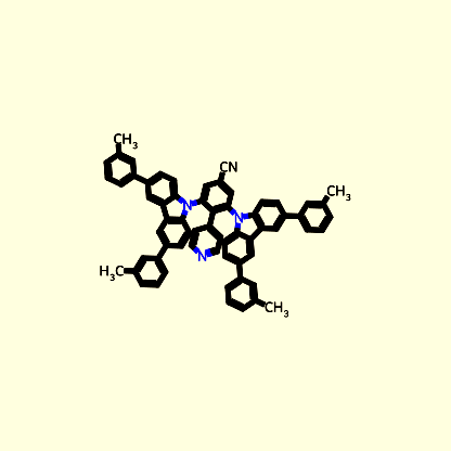 Cc1cccc(-c2ccc3c(c2)c2cc(-c4cccc(C)c4)ccc2n3-c2cc(C#N)cc(-n3c4ccc(-c5cccc(C)c5)cc4c4cc(-c5cccc(C)c5)ccc43)c2-c2ccncc2)c1